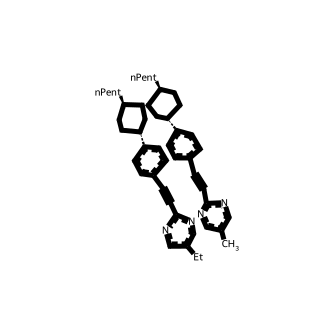 CCCCC[C@H]1CC[C@H](c2ccc(C#Cc3ncc(C)cn3)cc2)CC1.CCCCC[C@H]1CC[C@H](c2ccc(C#Cc3ncc(CC)cn3)cc2)CC1